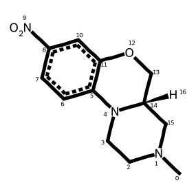 CN1CCN2c3ccc([N+](=O)[O-])cc3OC[C@@H]2C1